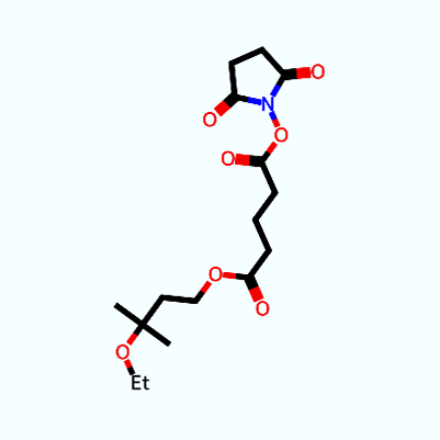 CCOC(C)(C)CCOC(=O)CCCC(=O)ON1C(=O)CCC1=O